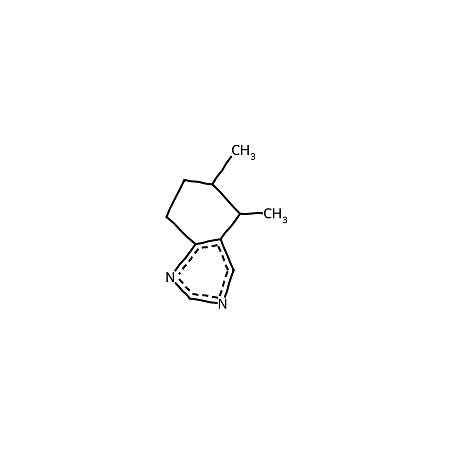 CC1CCc2ncncc2C1C